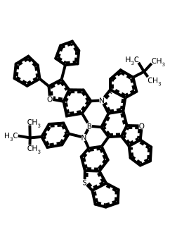 CC(C)(C)c1ccc(N2B3c4cc5oc(-c6ccccc6)c(-c6ccccc6)c5cc4-n4c5ccc(C(C)(C)C)cc5c5c6oc7ccccc7c6c(c3c54)-c3cc4c(cc32)sc2ccccc24)cc1